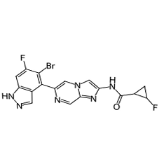 O=C(Nc1cn2cc(-c3c(Br)c(F)cc4[nH]ncc34)ncc2n1)C1CC1F